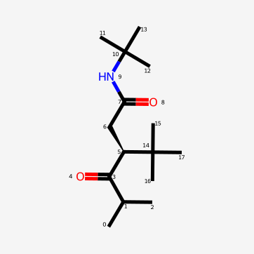 CC(C)C(=O)[C@@H](CC(=O)NC(C)(C)C)C(C)(C)C